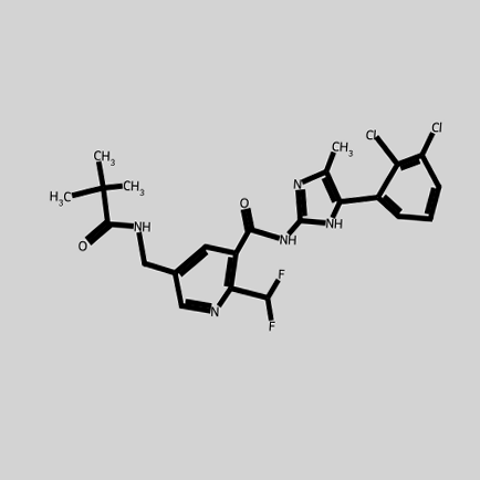 Cc1nc(NC(=O)c2cc(CNC(=O)C(C)(C)C)cnc2C(F)F)[nH]c1-c1cccc(Cl)c1Cl